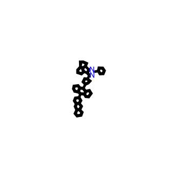 c1ccc(-c2nc(-c3ccc(-c4c5ccccc5c(-c5ccc6cc7ccccc7cc6c5)c5ccccc45)cc3)c3c(n2)-c2cccc4cccc-3c24)cc1